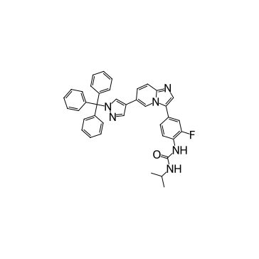 CC(C)NC(=O)Nc1ccc(-c2cnc3ccc(-c4cnn(C(c5ccccc5)(c5ccccc5)c5ccccc5)c4)cn23)cc1F